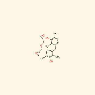 C(OCC1CO1)C1CO1.Cc1ccc(Cc2ccc(C)c(O)c2C)c(C)c1O